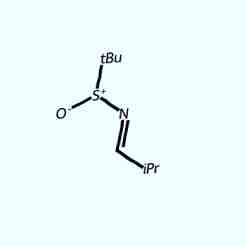 CC(C)C=N[S+]([O-])C(C)(C)C